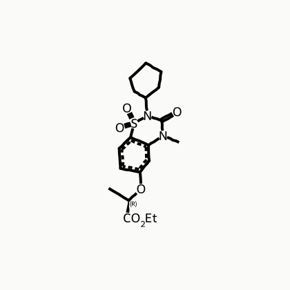 CCOC(=O)[C@@H](C)Oc1ccc2c(c1)N(C)C(=O)N(C1CCCCC1)S2(=O)=O